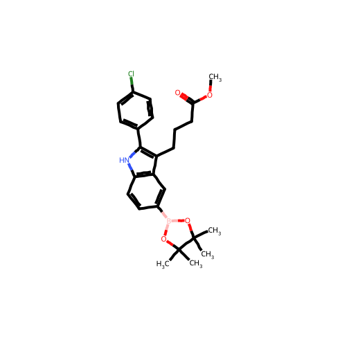 COC(=O)CCCc1c(-c2ccc(Cl)cc2)[nH]c2ccc(B3OC(C)(C)C(C)(C)O3)cc12